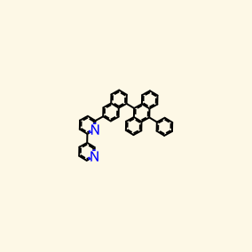 c1ccc(-c2c3ccccc3c(-c3cccc4cc(-c5cccc(-c6cccnc6)n5)ccc34)c3ccccc23)cc1